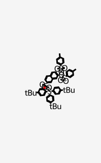 Cc1ccc(S(=O)(=O)Oc2cc3ccc(S(=O)(=O)OS(c4ccc(C(C)(C)C)cc4)(c4ccc(C(C)(C)C)cc4)c4ccc(C(C)(C)C)cc4)cc3cc2OS(=O)(=O)c2ccc(C)cc2)cc1